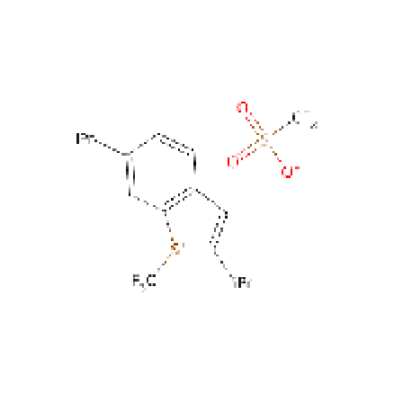 CC(C)c1ccc2cc(C(C)C)[s+](C(F)(F)F)c2c1.O=S(=O)([O-])C(F)(F)F